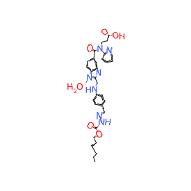 CCCCCCOC(=O)NN=Cc1ccc(NCc2nc3cc(C(=O)N(CCC(=O)O)c4ccccn4)ccc3n2C)cc1.O